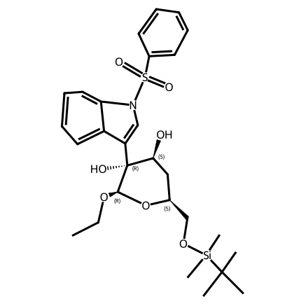 CCO[C@@H]1O[C@H](CO[Si](C)(C)C(C)(C)C)C[C@H](O)[C@]1(O)c1cn(S(=O)(=O)c2ccccc2)c2ccccc12